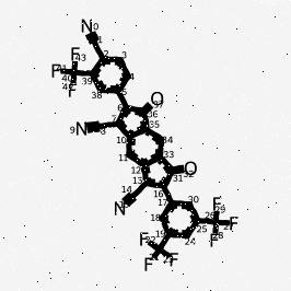 N#Cc1ccc(-c2c(C#N)c3cc4c(C#N)c(-c5cc(C(F)(F)F)cc(C(F)(F)F)c5)c(=O)c4cc3c2=O)cc1C(F)(F)F